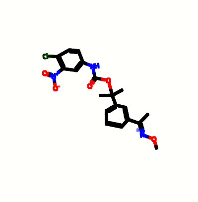 CO/N=C(\C)c1cccc(C(C)(C)OC(=O)Nc2ccc(Cl)c([N+](=O)[O-])c2)c1